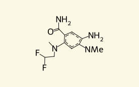 CNc1cc(N(C)CC(F)F)c(C(N)=O)cc1N